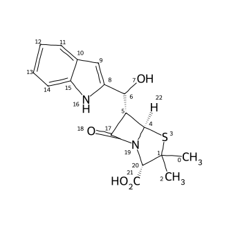 CC1(C)S[C@@H]2[C@@H](C(O)c3cc4ccccc4[nH]3)C(=O)N2[C@H]1C(=O)O